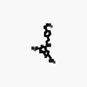 CCc1cc2c(NCCc3ccc(OC)cc3)nc(C)nc2s1